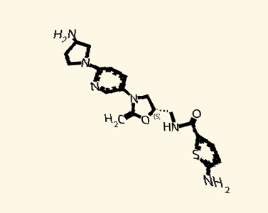 C=C1O[C@@H](CNC(=O)c2ccc(N)s2)CN1c1ccc(N2CCC(N)C2)nc1